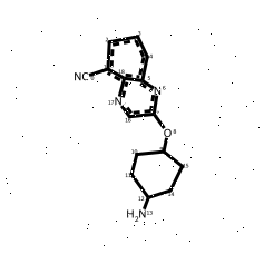 N#Cc1cccc2nc(OC3CCC(N)CC3)cnc12